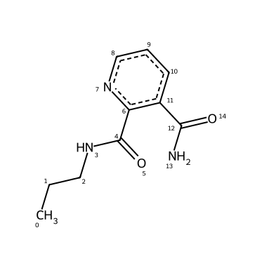 CCCNC(=O)c1ncccc1C(N)=O